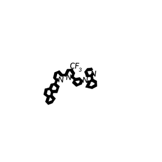 FC(F)(F)c1cc(-c2cccc(-n3c4ccccc4c4ncccc43)c2)nc(-c2cccc(-c3ccc4c(ccc5ccccc54)c3)n2)c1